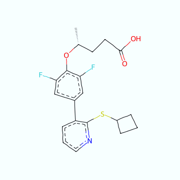 C[C@H](CCC(=O)O)Oc1c(F)cc(-c2cccnc2SC2CCC2)cc1F